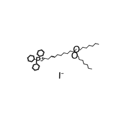 CCCCCCCOC(CCCCCC=CCCC[P+](c1ccccc1)(c1ccccc1)c1ccccc1)OCCCCCCC.[I-]